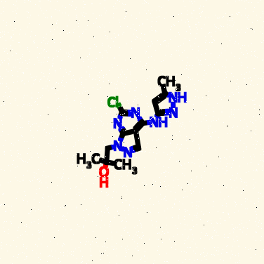 Cc1cc(Nc2nc(Cl)nc3c2cnn3CC(C)(C)O)n[nH]1